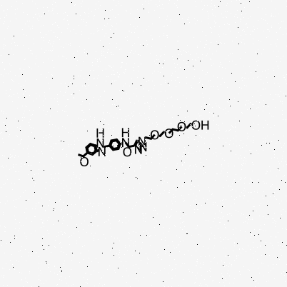 CC(=O)c1ccc2[nH]c(-c3ccc(NC(=O)c4cn(CCOCCOCCOCCO)nn4)cc3)nc2c1